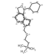 C[Si](C)(C)CCOCn1ccc2c3c(cnc21)CON3C1CCCCC1